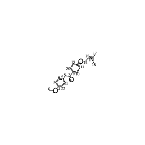 COc1ccc(CC(=O)c2ccc(OCCN(C)C)cc2)cc1